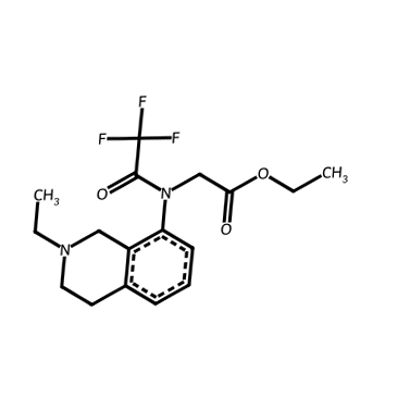 CCOC(=O)CN(C(=O)C(F)(F)F)c1cccc2c1CN(CC)CC2